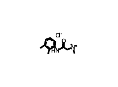 Cc1cccc(NC(=O)C[N+](C)(C)C)c1C.[Cl-]